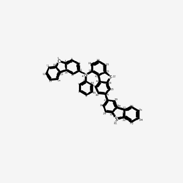 c1ccc(N(c2ccc3oc4ccccc4c3c2)c2cccc3sc4cc(-c5ccc6sc7ccccc7c6c5)ccc4c23)cc1